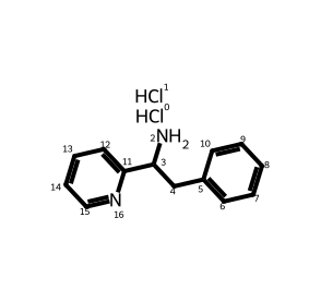 Cl.Cl.NC(Cc1ccccc1)c1ccccn1